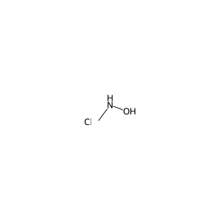 CNO.[C]